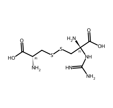 N=C(N)N[C@](N)(CSSC[C@H](N)C(=O)O)C(=O)O